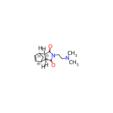 CN(C)CCN1C(=O)[C@@H]2[C@H](C1=O)[C@H]1C=C[C@@H]2C1